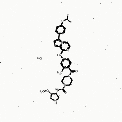 CO[C@@H]1CNC[C@H]1NC(=O)N1CCN(C(=O)c2ccc(Nc3nccn4c(-c5ccc(OC(F)F)cc5)cnc34)cc2C)CC1.Cl